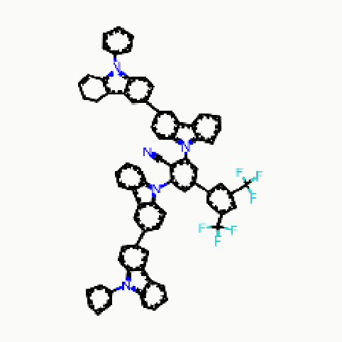 N#Cc1c(-n2c3ccccc3c3cc(-c4ccc5c(c4)c4c(n5-c5ccccc5)C=CCC4)ccc32)cc(-c2cc(C(F)(F)F)cc(C(F)(F)F)c2)cc1-n1c2ccccc2c2cc(-c3ccc4c(c3)c3ccccc3n4-c3ccccc3)ccc21